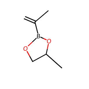 C=C(C)B1OCC(C)O1